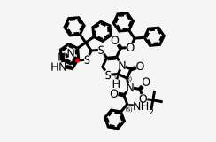 CC(C)(C)OC(=O)N(C(=O)[C@@H](N)c1ccccc1)[C@@H]1C(=O)N2C(C(=O)OC(c3ccccc3)c3ccccc3)=C(SC(Sc3c[nH]nn3)C(c3ccccc3)(c3ccccc3)c3ccccc3)CS[C@@H]12